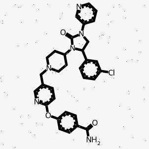 NC(=O)c1ccc(Oc2ccc(CN3CCC(N4C(=O)N(c5cccnc5)CC4c4cccc(Cl)c4)CC3)cn2)cc1